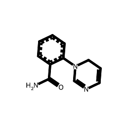 NC(=O)c1ccccc1N1C=NC=CC1